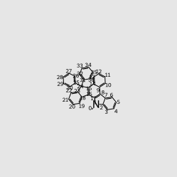 Cn1c2ccccc2c2c3ccccc3c3c(c21)-c1ccccc1C3(c1ccccc1)c1ccccc1